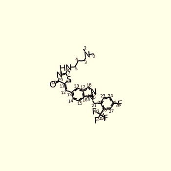 CN(C)CCCNC1=NC(=O)C(=Cc2ccc3c(cnn3Cc3ccc(F)cc3C(F)(F)F)c2)S1